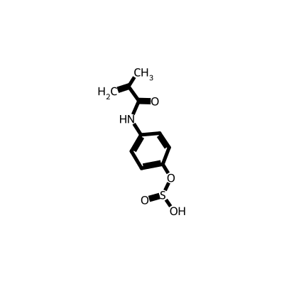 C=C(C)C(=O)Nc1ccc(OS(=O)O)cc1